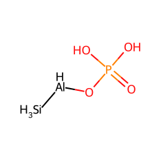 O=P(O)(O)[O][AlH][SiH3]